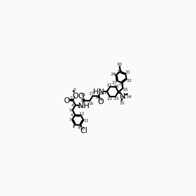 COC(=O)C(Cc1ccc(Cl)cc1)NC(=O)CCC(=O)NC1CCC(Cc2ccc(C)cc2)(N(C)C)CC1